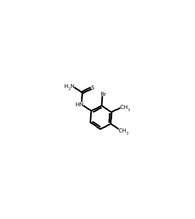 Cc1ccc(NC(N)=S)c(Br)c1C